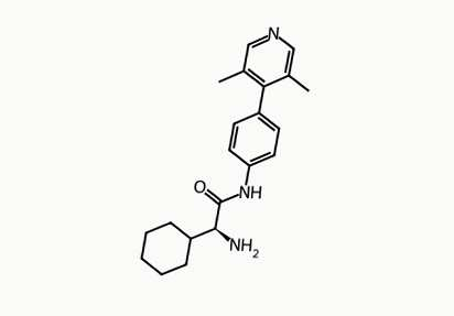 Cc1cncc(C)c1-c1ccc(NC(=O)[C@@H](N)C2CCCCC2)cc1